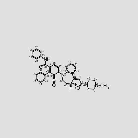 CN1CCN(C(=O)C=C2c3ccccc3N(C3C=CC(C(=O)Nc4ccccc4)=C(c4ccccc4)C3=C=O)CCC2(F)F)CC1